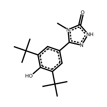 Cn1c(-c2cc(C(C)(C)C)c(O)c(C(C)(C)C)c2)n[nH]c1=O